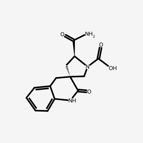 NC(=O)[C@@H]1C[C@]2(Cc3ccccc3NC2=O)CN1C(=O)O